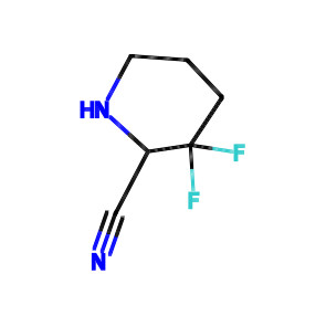 N#CC1NCCCC1(F)F